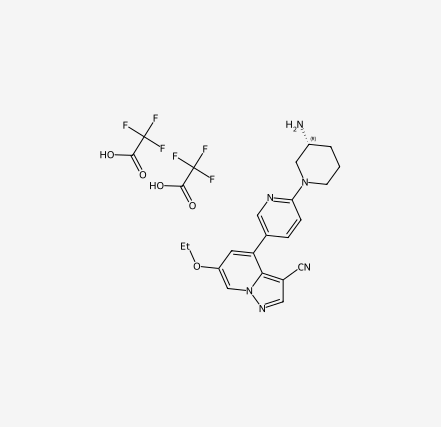 CCOc1cc(-c2ccc(N3CCC[C@@H](N)C3)nc2)c2c(C#N)cnn2c1.O=C(O)C(F)(F)F.O=C(O)C(F)(F)F